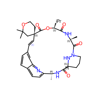 CC(C)[C@@H]1OC(=O)[C@@]2(/C=C/c3ccc4ccc(nc4c3)[C@@H](C)NC(=O)[C@@H]3CCCN(N3)C(=O)[C@H](C)NC1=O)CCOC(C)(C)C2